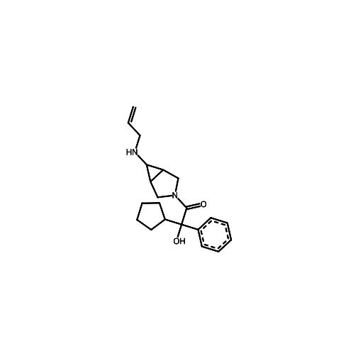 C=CCNC1C2CN(C(=O)C(O)(c3ccccc3)C3CCCC3)CC21